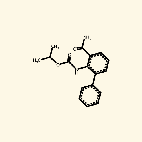 CC(C)OC(=O)Nc1c(C(N)=O)cccc1-c1ccccc1